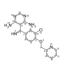 N=C(c1ccc(OCc2ccccn2)c(Cl)c1)c1c(N)ncnc1N